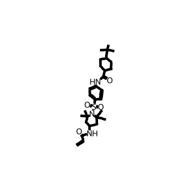 C=CC(=O)NC1CC(C)(C)N(S(=O)(=O)c2ccc(NC(=O)C3CCC(C(C)(C)C)CC3)cc2)C(C)(C)C1